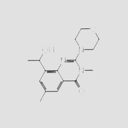 Cc1cc(C(C)O)c2nc(N3CCOCC3)n(C)c(=O)c2c1